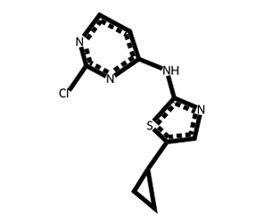 Clc1nccc(Nc2ncc(C3CC3)s2)n1